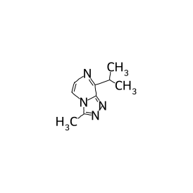 Cc1nnc2c(C(C)C)nccn12